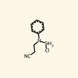 N#CCCN([SiH2]Cl)c1ccccc1